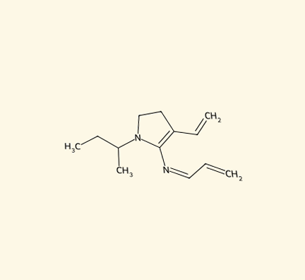 C=C/C=N\C1=C(C=C)CCN1C(C)CC